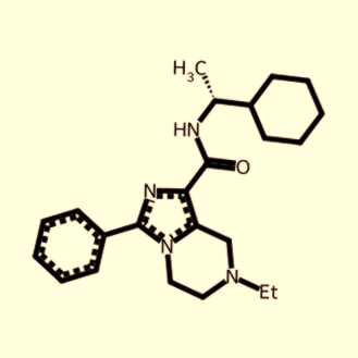 CCN1CCn2c(-c3ccccc3)nc(C(=O)N[C@H](C)C3CCCCC3)c2C1